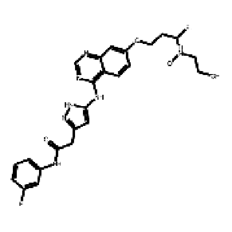 CCC(CCOc1ccc2c(Nc3cc(CC(=O)Nc4cccc(F)c4)n[nH]3)ncnc2c1)[NH+]([O-])CCO